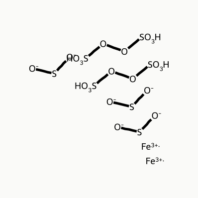 O=S(=O)(O)OOS(=O)(=O)O.O=S(=O)(O)OOS(=O)(=O)O.[Fe+3].[Fe+3].[O-]S[O-].[O-]S[O-].[O-]S[O-]